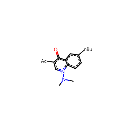 CCCCc1ccc2c(c1)c(=O)c(C(C)=O)cn2N(C)C